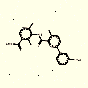 COC(=O)c1ccc(C)c(NC(=O)c2nc(-c3cccc(OC)c3)ccc2C)c1C